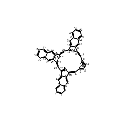 c1ccc2cc3c(cc2c1)-c1cc2ccc(cc4nc(cc5[nH]c(cc-3n1)c1cc3ccccc3cc51)-c1cc3ccccc3cc1-4)[nH]2